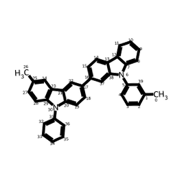 Cc1cccc(-n2c3ccccc3c3ccc(-c4ccc5c(c4)c4cc(C)ccc4n5-c4ccccc4)cc32)c1